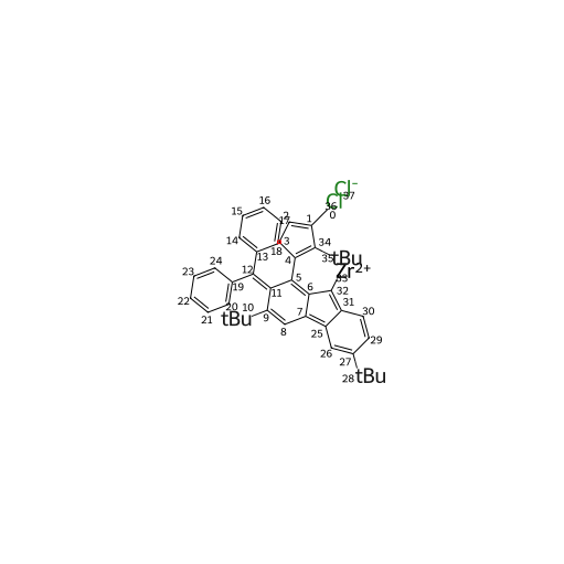 CC1=CCC(c2c3c(cc(C(C)(C)C)c2=C(c2ccccc2)c2ccccc2)=c2cc(C(C)(C)C)ccc2=[C]3[Zr+2])=C1C(C)(C)C.[Cl-].[Cl-]